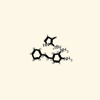 Cc1cc[nH]c1C(C)(C)C.Nc1ccc(C=Cc2ccccc2)cc1N